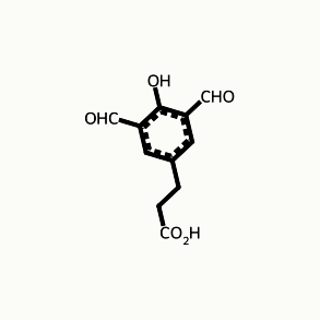 O=Cc1cc(CCC(=O)O)cc(C=O)c1O